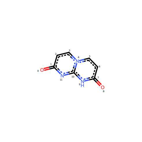 O=c1ccn2ccc(=O)[nH]c2n1